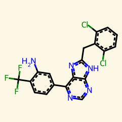 Nc1cc(-c2ncnc3[nH]c(Cc4c(Cl)cccc4Cl)nc23)ccc1C(F)(F)F